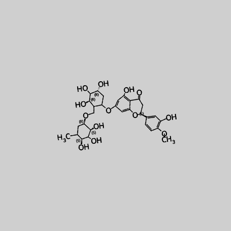 COc1ccc([C@@H]2CC(=O)c3c(O)cc(OC4C[C@@H](O)C(O)[C@H](O)C4CO[C@@H]4CC(C)[C@H](O)C(O)[C@@H]4O)cc3O2)cc1O